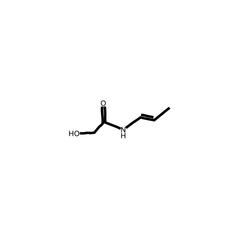 CC=CNC(=O)CO